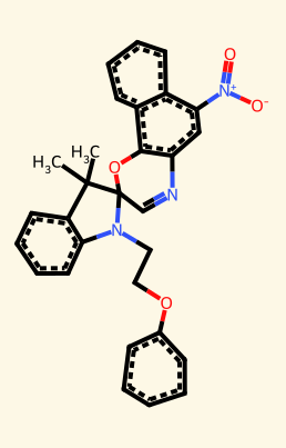 CC1(C)c2ccccc2N(CCOc2ccccc2)C12C=Nc1cc([N+](=O)[O-])c3ccccc3c1O2